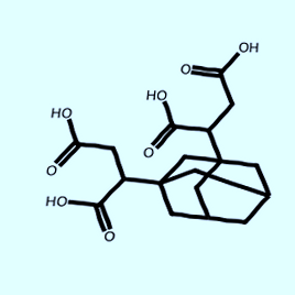 O=C(O)CC(C(=O)O)C12CC3CC(C1)CC(C(CC(=O)O)C(=O)O)(C3)C2